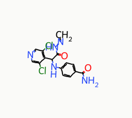 C=NNC(=O)C(Nc1ccc(C(N)=O)cc1)c1c(Cl)cncc1Cl